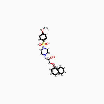 COc1ccc(S(=O)(=O)N2CCN(CC(O)COc3cccc4ccccc34)CC2)cc1